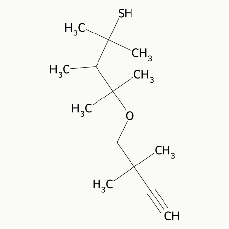 C#CC(C)(C)COC(C)(C)C(C)C(C)(C)S